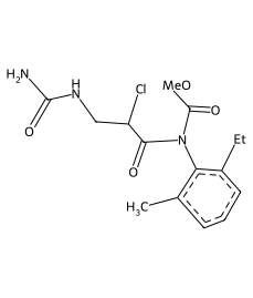 CCc1cccc(C)c1N(C(=O)OC)C(=O)C(Cl)CNC(N)=O